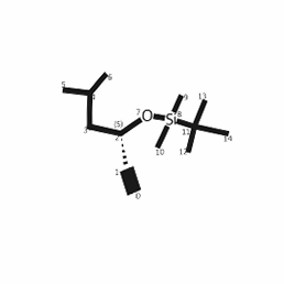 C#C[C@H](CC(C)C)O[Si](C)(C)C(C)(C)C